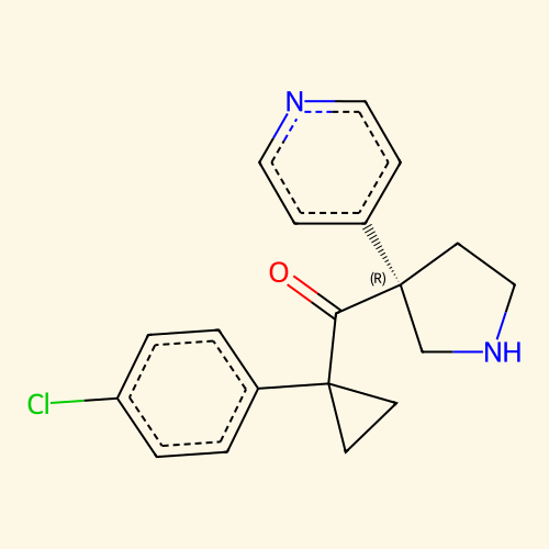 O=C(C1(c2ccc(Cl)cc2)CC1)[C@@]1(c2ccncc2)CCNC1